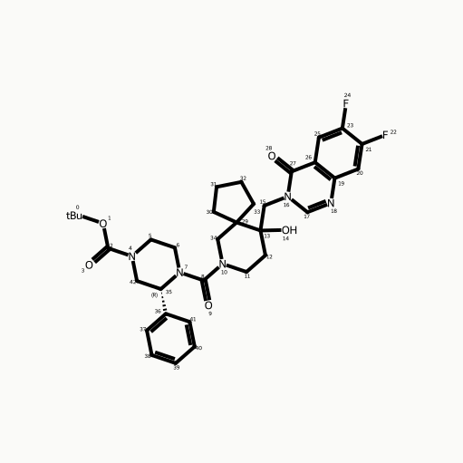 CC(C)(C)OC(=O)N1CCN(C(=O)N2CCC(O)(Cn3cnc4cc(F)c(F)cc4c3=O)C3(CCCC3)C2)[C@H](c2ccccc2)C1